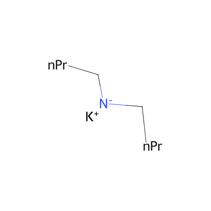 CCCC[N-]CCCC.[K+]